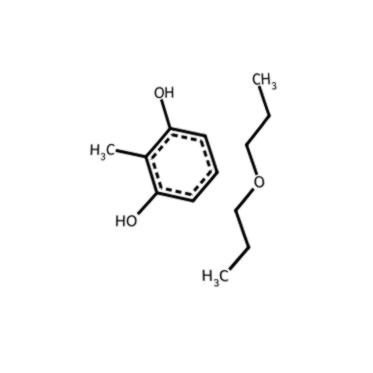 CCCOCCC.Cc1c(O)cccc1O